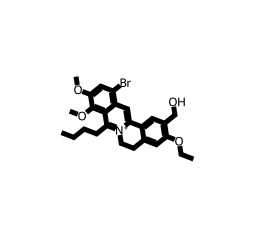 CCCCc1c2c(OC)c(OC)cc(Br)c2cc2[n+]1CCc1cc(OCC)c(CO)cc1-2